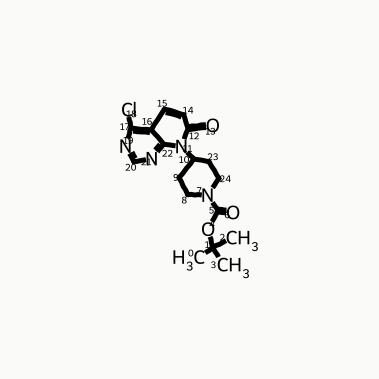 CC(C)(C)OC(=O)N1CCC(n2c(=O)ccc3c(Cl)ncnc32)CC1